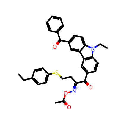 CCc1ccc(SCC/C(=N\OC(C)=O)C(=O)c2ccc3c(c2)c2cc(C(=O)c4ccccc4)ccc2n3CC)cc1